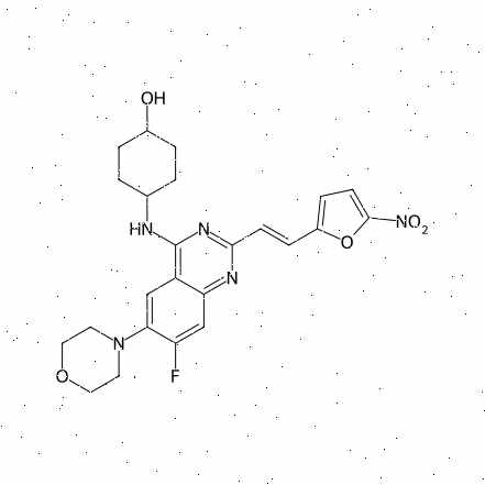 O=[N+]([O-])c1ccc(C=Cc2nc(NC3CCC(O)CC3)c3cc(N4CCOCC4)c(F)cc3n2)o1